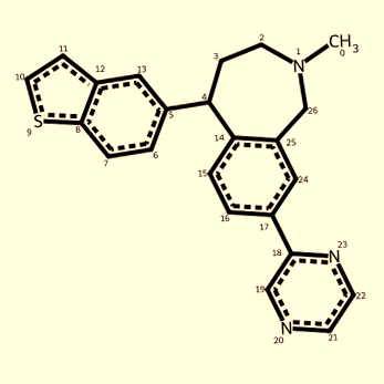 CN1CCC(c2ccc3sccc3c2)c2ccc(-c3cnccn3)cc2C1